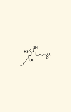 CCCCC[C@H](O)/C=C/[C@@H]1[C@@H](C/C=C\CCCC(=O)OC)[C@H](S)C[C@@H]1S